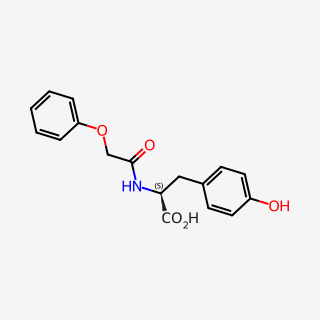 O=C(COc1ccccc1)N[C@@H](Cc1ccc(O)cc1)C(=O)O